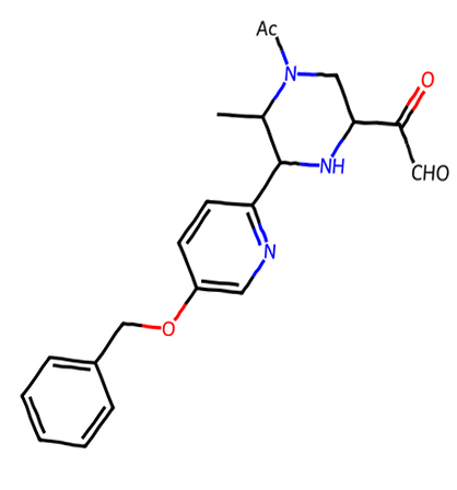 CC(=O)N1CC(C(=O)C=O)NC(c2ccc(OCc3ccccc3)cn2)C1C